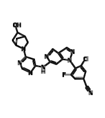 N#Cc1cc(F)c(-n2ncc3cnc(Nc4cc(N5CC6CC5CC6O)ncn4)cc32)c(Cl)c1